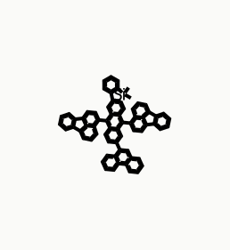 C[Si]1(C)c2ccccc2-c2cc3c(-c4ccc5c6c(cccc46)-c4ccccc4-5)c4ccc(-c5cc6ccccc6c6ccccc56)cc4c(-c4ccc5c6c(cccc46)-c4ccccc4-5)c3cc21